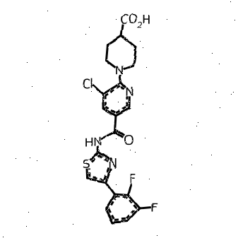 O=C(Nc1nc(-c2cccc(F)c2F)cs1)c1cnc(N2CCC(C(=O)O)CC2)c(Cl)c1